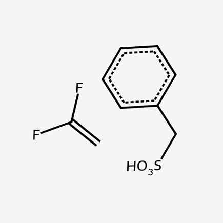 C=C(F)F.O=S(=O)(O)Cc1ccccc1